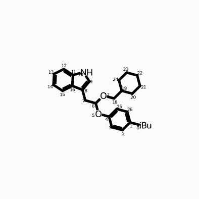 CCC(C)c1ccc(OC(Cc2c[nH]c3ccccc23)OCC2CCCCC2)cc1